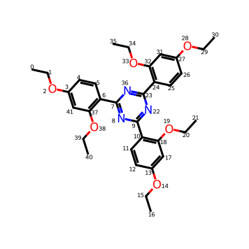 CCOc1ccc(-c2nc(-c3ccc(OCC)cc3OCC)nc(-c3ccc(OCC)cc3OCC)n2)c(OCC)c1